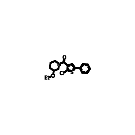 CCOC1CCCN(C(=O)c2cc(-c3ccccc3)sc2Cl)C1